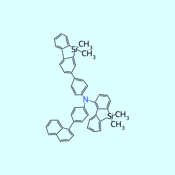 C[Si]1(C)c2ccccc2-c2ccc(-c3ccc(N(c4ccc(-c5cccc6ccccc56)cc4)c4cccc5c4-c4ccccc4[Si]5(C)C)cc3)cc21